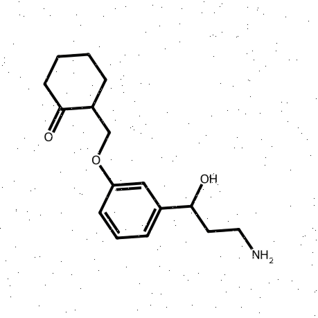 NCCC(O)c1cccc(OCC2CCCCC2=O)c1